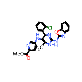 COC(=O)c1ccc(NC2=C(C)NC(Nc3nc4ccccc4o3)=NC2c2ccccc2Cl)cn1